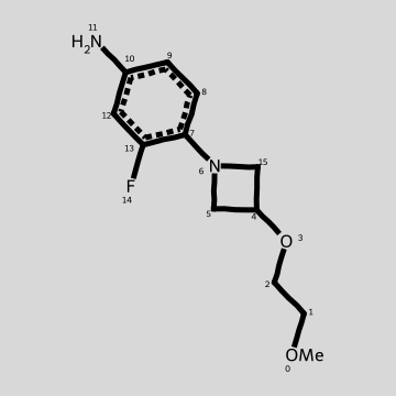 COCCOC1CN(c2ccc(N)cc2F)C1